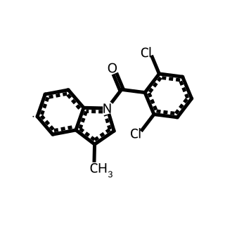 Cc1cn(C(=O)c2c(Cl)cccc2Cl)c2cc[c]cc12